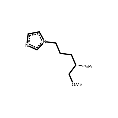 CCC[C@@H](CCCn1ccnc1)COC